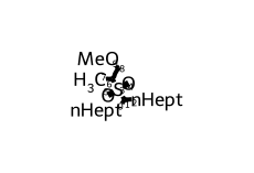 CCCCCCCC(CCCCCCC)S(=O)(=O)C(C)COC